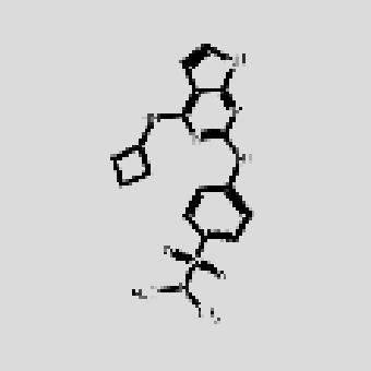 CN(C)S(=O)(=O)c1ccc(Nc2nc(NC3CCC3)c3cc[nH]c3n2)cc1